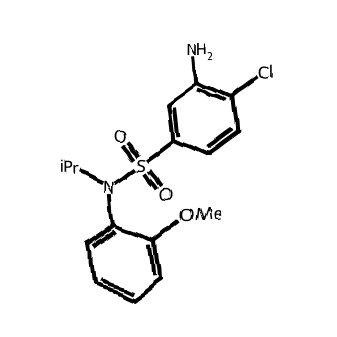 COc1ccccc1N(C(C)C)S(=O)(=O)c1ccc(Cl)c(N)c1